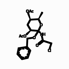 CC(=O)O[C@H]1C[C@@H](OC(C)=O)[C@@H](C)O[C@]1(NC(=O)CCl)OCc1ccccc1